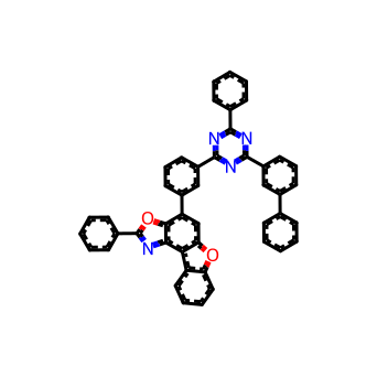 c1ccc(-c2cccc(-c3nc(-c4ccccc4)nc(-c4cccc(-c5cc6oc7ccccc7c6c6nc(-c7ccccc7)oc56)c4)n3)c2)cc1